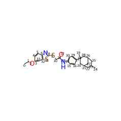 CCOc1ccc2nc(SCC(=O)Nc3ccc(C4(C)CC5CC(C)CC(C5)C4)cc3)sc2c1